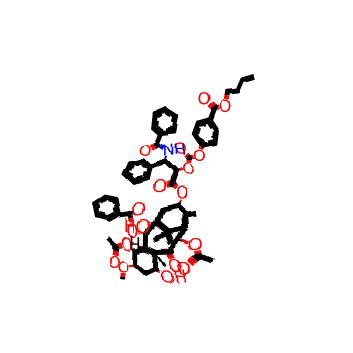 CCCCOC(=O)c1ccc(OC(=O)O[C@@H](C(=O)O[C@H]2C[C@@]3(O)[C@@H](OC(=O)c4ccccc4)[C@@H]4[C@@H](OC(C)=O)[C@H](OC)C[C@H](O)[C@@]4(C)C(=O)[C@H](OC(C)=O)C(=C2C)C3(C)C)[C@@H](NC(=O)c2ccccc2)c2ccccc2)cc1